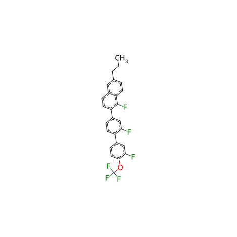 CCCc1ccc2c(F)c(-c3ccc(-c4ccc(OC(F)(F)F)c(F)c4)c(F)c3)ccc2c1